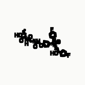 CSC[C@H](NC(=O)CNC(=O)COc1ccc([C@@H]2[C@@H](SCC(O)c3ccc(F)cc3)C(=O)N2c2ccc(F)cc2)cc1)C(=O)O